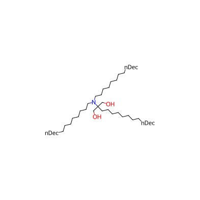 CCCCCCCCCCCCCCCCCCN(CCCCCCCCCCCCCCCCCC)C(CO)(CO)CCCCCCCCCCCCCCCCCC